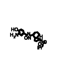 CC(C)CS(=O)(=O)N[C@H]1CCC2=C1CCC=C2c1noc(-c2ccc(O)c(N)c2)n1